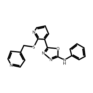 c1ccc(Nc2nnc(-c3cccnc3SCc3ccncc3)o2)cc1